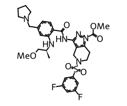 COC[C@H](C)Nc1cc(CN2CCCC2)ccc1C(=O)Nc1nn(C(=O)OC)c2c1CN(S(=O)(=O)c1cc(F)cc(F)c1)CC2